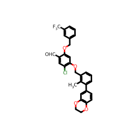 Cc1c(COc2cc(OCc3cccc(C(F)(F)F)c3)c(C=O)cc2Cl)cccc1-c1ccc2c(c1)OCCO2